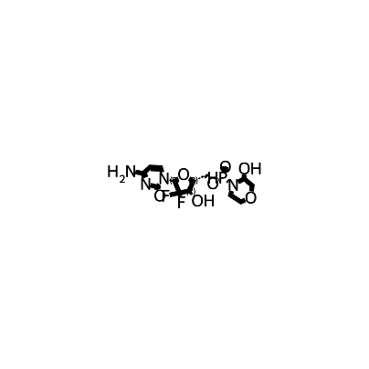 Nc1ccn([C@@H]2O[C@H](CO[PH](=O)N3CCOCC3O)[C@@H](O)C2(F)F)c(=O)n1